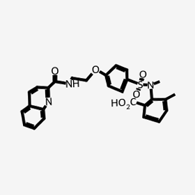 Cc1cccc(C(=O)O)c1N(C)S(=O)(=O)c1ccc(OCCNC(=O)c2ccc3ccccc3n2)cc1